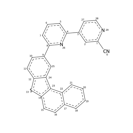 N#Cc1cc(-c2cccc(-c3ccc4sc5ccc6ccccc6c5c4c3)n2)ccn1